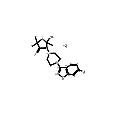 CCCCC1(C)SC(C)(C)C(=O)N1N1CCN(c2nsc3cc(Cl)ccc23)CC1.Cl